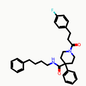 O=C(CCc1ccc(F)cc1)N1CCC(C(=O)NCCCCc2ccccc2)(c2ccccc2)CC1